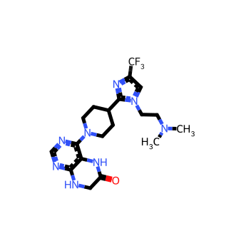 CN(C)CCn1cc(C(F)(F)F)nc1C1CCN(c2ncnc3c2NC(=O)CN3)CC1